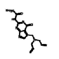 C=CCN(CC=C)CC1=C2C(=O)N=C(NC(=O)CCCCCCC)N=C2N=C1